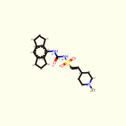 CCN1CCC(/C=C/S(=O)(=O)NC(=O)Nc2c3c(cc4c2CCC4)CCC3)CC1